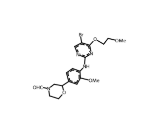 COCCOc1nc(Nc2ccc(C3CN(C=O)CCO3)cc2OC)ncc1Br